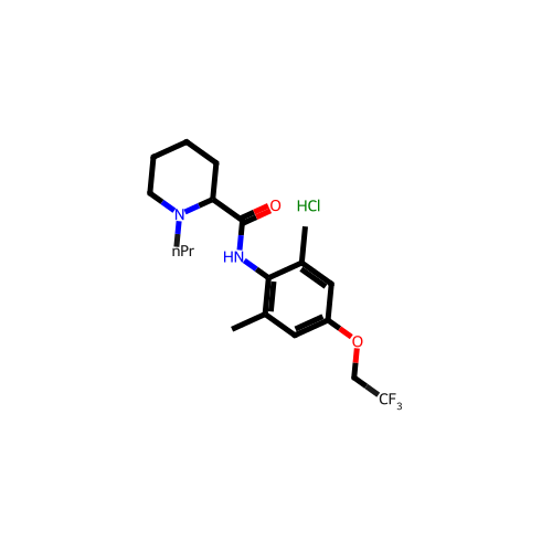 CCCN1CCCCC1C(=O)Nc1c(C)cc(OCC(F)(F)F)cc1C.Cl